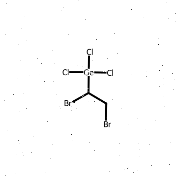 [Cl][Ge]([Cl])([Cl])[CH](Br)CBr